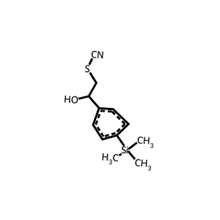 C[Si](C)(C)c1ccc(C(O)CSC#N)cc1